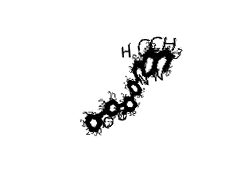 CC1(C)c2cccnc2-c2nc(-c3ccc(-c4ccc5oc6c(ccc7c8ccccc8oc76)c5c4)cc3)ccc21